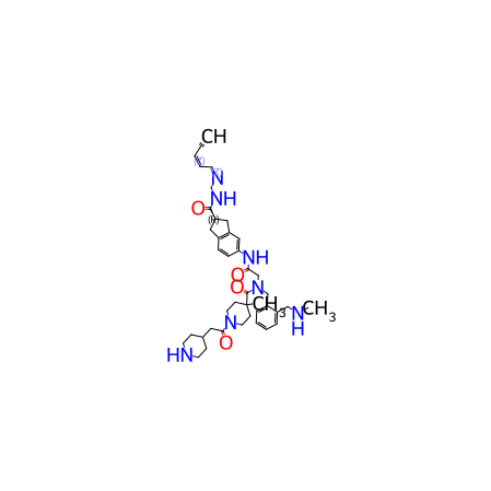 C#C/C=C\C=N/CNC(=O)[C@@H]1Cc2ccc(NC(=O)CN(Cc3ccccc3CNC)C(=O)C3(C)CCN(C(=O)CC4CCNCC4)CC3)cc2C1